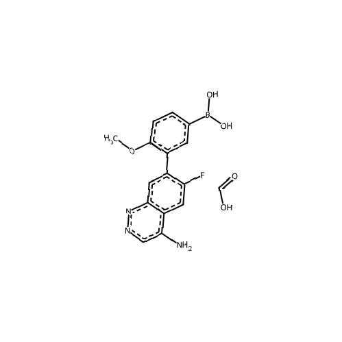 COc1ccc(B(O)O)cc1-c1cc2nncc(N)c2cc1F.O=CO